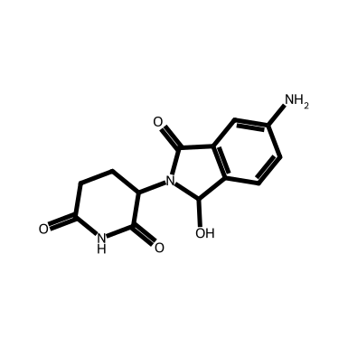 Nc1ccc2c(c1)C(=O)N(C1CCC(=O)NC1=O)C2O